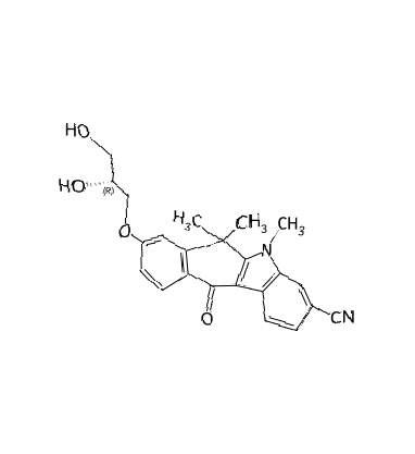 Cn1c2c(c3ccc(C#N)cc31)C(=O)c1ccc(OC[C@H](O)CO)cc1C2(C)C